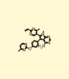 C=Cc1ncc(-c2c(-c3ccc(Oc4nccc(C)n4)cc3)c3c(N)ncnc3n2C)c(C)n1